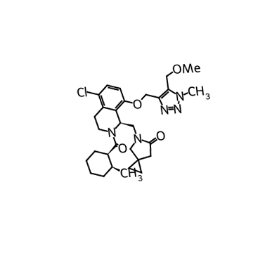 COCc1c(COc2ccc(Cl)c3c2[C@@H](CN2CC4(CC4)CC2=O)N(C(=O)[C@@H]2CCCC[C@@H]2C)CC3)nnn1C